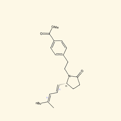 CCCC/C(C)=C/C=C/[C@H]1CCC(=O)N1CCc1ccc(C(=O)OC)cc1